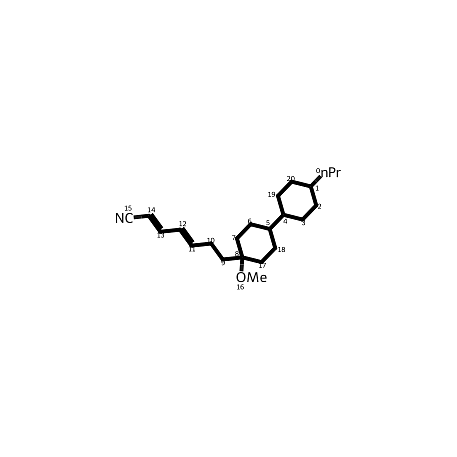 CCCC1CCC(C2CCC(CCC=CC=CC#N)(OC)CC2)CC1